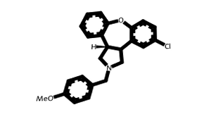 COc1ccc(CN2CC3c4cc(Cl)ccc4Oc4ccccc4[C@H]3C2)cc1